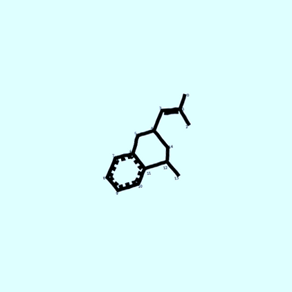 CC(C)=CC1Cc2ccccc2C(C)C1